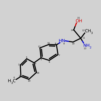 Cc1ccc(-c2ccc(NCC(C)(N)CO)cc2)cc1